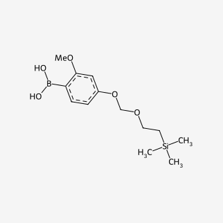 COc1cc(OCOCC[Si](C)(C)C)ccc1B(O)O